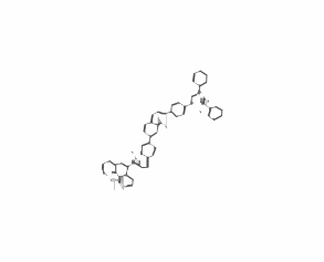 c1ccc(-c2cc(-c3ccc(-c4ccc5ccc(-c6ccc7ccc(-c8cc9cccnc9c9ncccc89)nc7c6)cc5n4)cc3)nc(-c3ccccc3)n2)cc1